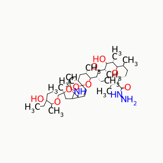 C#CCN[C@]12C=CC3(O[C@H]([C@@H](CC)C(=O)[C@@H](C)[C@@H](O)[C@H](C)[C@@H]4O[C@@H]([C@@H](CC)C(=O)NN)CC[C@@H]4C)[C@@H](C)C[C@H]3C)O[C@]13O[C@](C)([C@H]1CC[C@](O)(CC)[C@H](C)O1)CC32